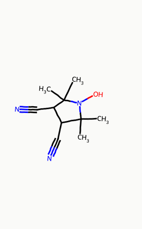 CC1(C)C(C#N)C(C#N)C(C)(C)N1O